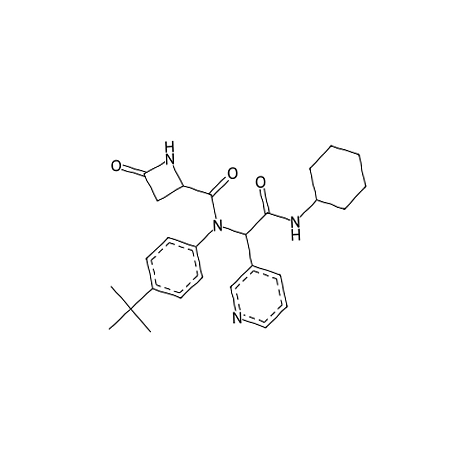 CC(C)(C)c1ccc(N(C(=O)C2CC(=O)N2)C(C(=O)NC2CCCCC2)c2cccnc2)cc1